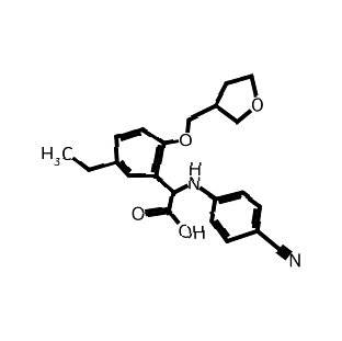 CCc1ccc(OCC2CCOC2)c(C(Nc2ccc(C#N)cc2)C(=O)O)c1